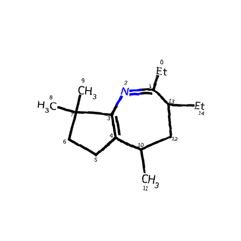 CCC1=NC2=C(CCC2(C)C)C(C)CC1CC